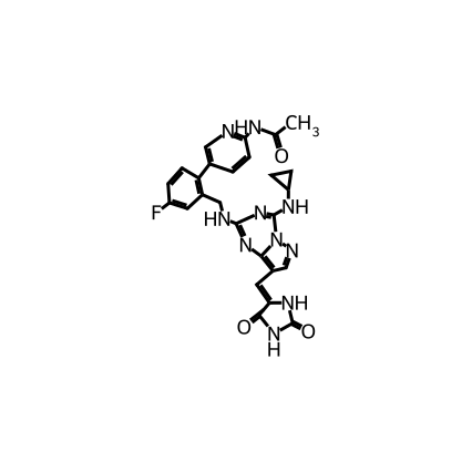 CC(=O)Nc1ccc(-c2ccc(F)cc2CNc2nc(NC3CC3)n3ncc(/C=C4\NC(=O)NC4=O)c3n2)cn1